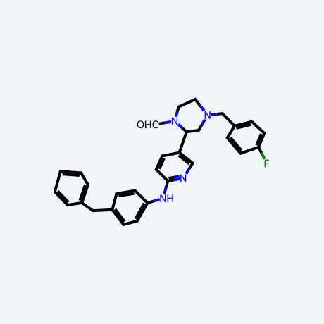 O=CN1CCN(Cc2ccc(F)cc2)CC1c1ccc(Nc2ccc(Cc3ccccc3)cc2)nc1